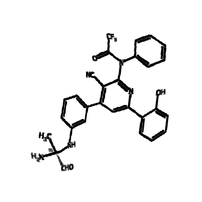 C[C@@](N)(C=O)Nc1cccc(-c2cc(-c3ccccc3O)nc(N(C(=O)C(F)(F)F)c3ccccc3)c2C#N)c1